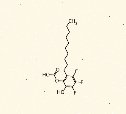 CCCCCCCCCCc1c(F)c(F)c(F)c(O)c1OC(=O)O